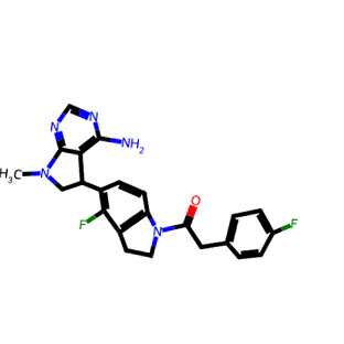 CN1CC(c2ccc3c(c2F)CCN3C(=O)Cc2ccc(F)cc2)c2c(N)ncnc21